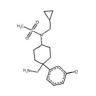 CS(=O)(=O)N(CC1CC1)C1CCC(CN)(c2cccc(Cl)c2)CC1